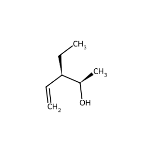 C=C[C@@H](CC)[C@@H](C)O